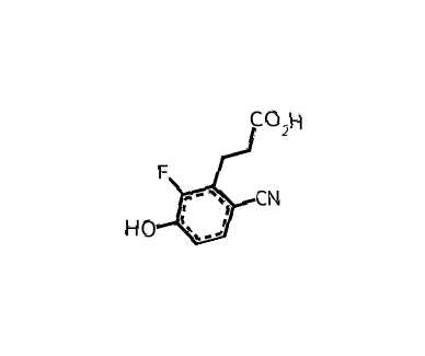 N#Cc1ccc(O)c(F)c1CCC(=O)O